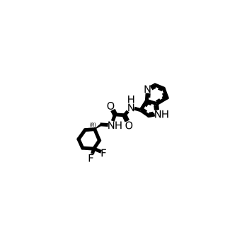 O=C(NC[C@@H]1CCCC(F)(F)C1)C(=O)Nc1c[nH]c2cccnc12